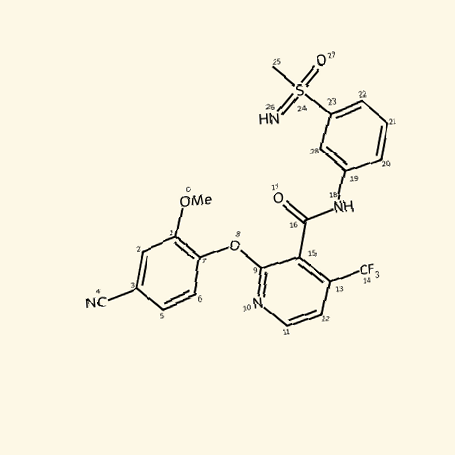 COc1cc(C#N)ccc1Oc1nccc(C(F)(F)F)c1C(=O)Nc1cccc(S(C)(=N)=O)c1